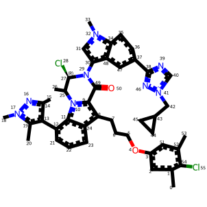 Cc1cc(OCCCc2c3n(c4c(-c5c(C)nn(C)c5C)cccc24)C(C)[C@@H](Cl)N(c2cn(C)c4ccc(-c5ncn(CC6CC6)n5)cc24)C3=O)cc(C)c1Cl